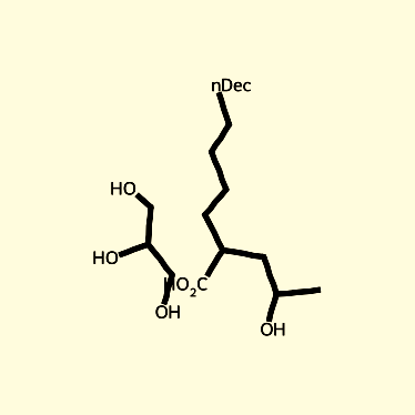 CCCCCCCCCCCCCCC(CC(C)O)C(=O)O.OCC(O)CO